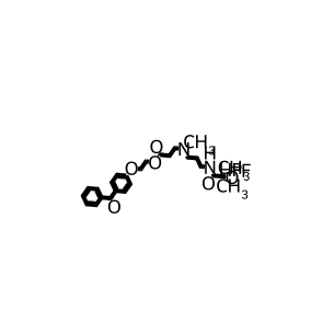 CN(CCCNC(=O)C(C)(C)OPF)CCC(=O)OCCOc1ccc(C(=O)c2ccccc2)cc1